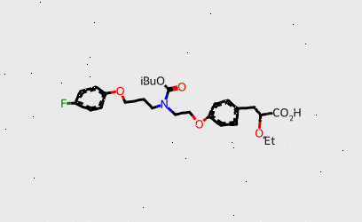 CCOC(Cc1ccc(OCCN(CCCOc2ccc(F)cc2)C(=O)OCC(C)C)cc1)C(=O)O